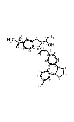 CC(O)N1Cc2cc(S(C)(=O)=O)ccc2[C@@H]1C(=O)Nc1ccc(N2CCC[C@H]2c2cccc(F)c2)nc1